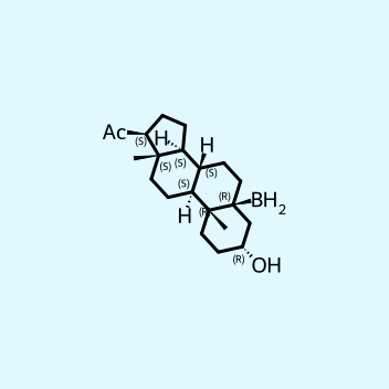 B[C@]12CC[C@H]3[C@@H]4CC[C@H](C(C)=O)[C@@]4(C)CC[C@@H]3[C@@]1(C)CC[C@@H](O)C2